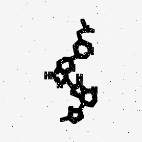 Cc1ccc(-c2ccnc3[nH]c(-c4n[nH]c5ccc(-c6cncc(CN(C)C)c6)nc45)cc23)s1